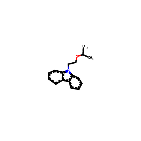 CC(C)OCCn1c2ccccc2c2ccccc21